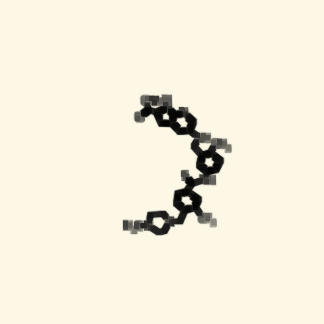 COC(=O)c1cc2cc(NCc3cc(NC(=S)c4ccc(CN5CCN(C)CC5)c(C(F)(F)F)c4)ccc3C)cnc2[nH]1